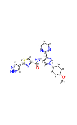 CCOC1CCC(n2cc(NC(=O)c3csc(-c4cn[nH]c4)n3)c(-c3ncccn3)n2)CC1